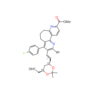 COC(=O)c1ccc2c(n1)CCCc1c-2nc(C(C)C)c(/C=C/[C@@H]2C[C@H](CC=O)OC(C)(C)O2)c1-c1ccc(F)cc1